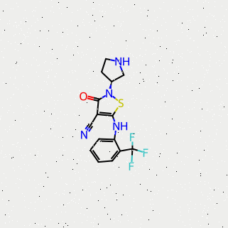 N#Cc1c(Nc2ccccc2C(F)(F)F)sn([C@H]2CCNC2)c1=O